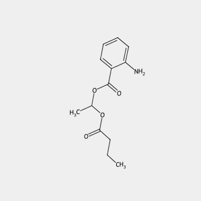 CCCC(=O)OC(C)OC(=O)c1ccccc1N